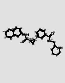 O=C(NCC1CCCCN1)c1cccc([C@@H]2C[C@H]2C(=O)Nc2ccc3cnccc3c2)c1